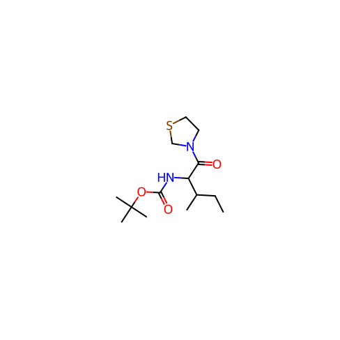 CCC(C)C(NC(=O)OC(C)(C)C)C(=O)N1CCSC1